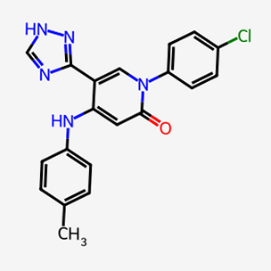 Cc1ccc(Nc2cc(=O)n(-c3ccc(Cl)cc3)cc2-c2nc[nH]n2)cc1